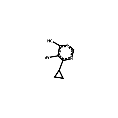 CCCc1c(C#N)ncnc1C1CC1